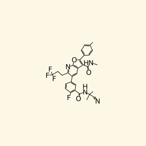 CNC(=O)c1c(-c2ccc(C)cc2)oc2nc(CCC(F)(F)F)c(-c3ccc(F)c(C(=O)NC(C)(C)C#N)c3)cc12